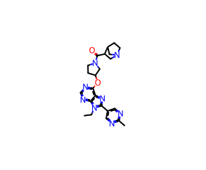 CCn1c(-c2cnc(C)nc2)nc2c(OC3CCN(C(=O)C4CN5CCC4C5)C3)ncnc21